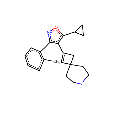 FC(F)(F)c1ccccc1-c1noc(C2CC2)c1C1=CC2(CCNCC2)C1